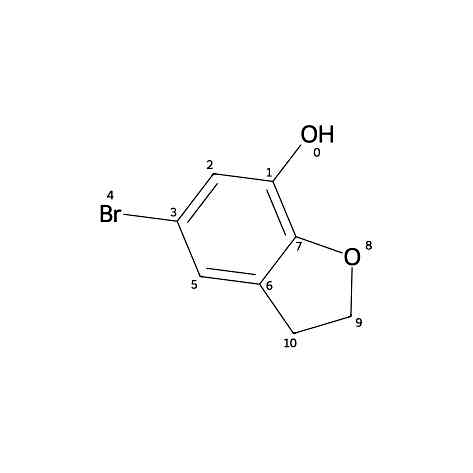 Oc1cc(Br)cc2c1OCC2